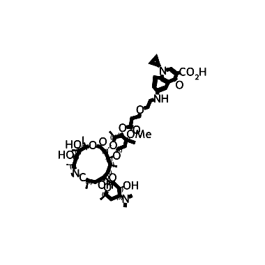 CO[C@]1(C)C[C@H](O[C@H]2[C@@H](C)[C@@H](O[C@@H]3O[C@H](C)C[C@H](N(C)C)[C@H]3O)[C@](C)(O)C[C@@H](C)CN(C)[C@H](C)[C@@H](O)[C@](C)(O)[C@@H](I)OC(=O)[C@@H]2C)O[C@@H](C)[C@@H]1OC(=O)CCOCCNc1ccc2c(c1)c(=O)c(C(=O)O)cn2C1CC1